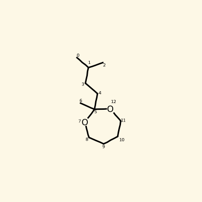 CC(C)CCC1(C)OCCCCO1